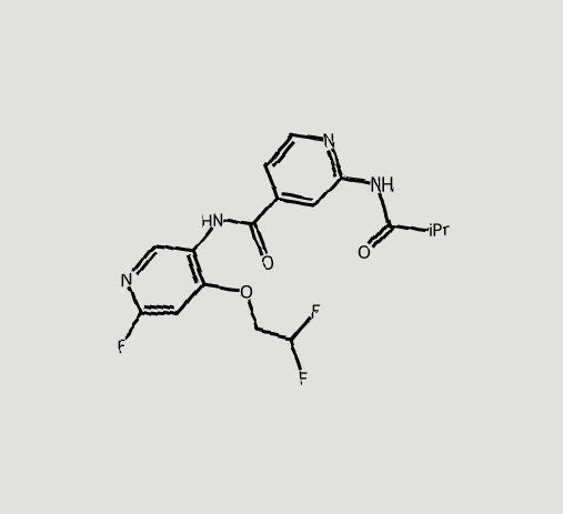 CC(C)C(=O)Nc1cc(C(=O)Nc2cnc(F)cc2OCC(F)F)ccn1